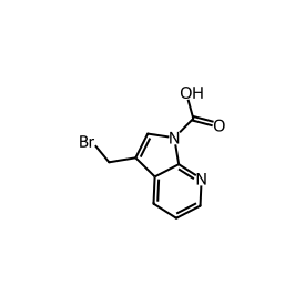 O=C(O)n1cc(CBr)c2cccnc21